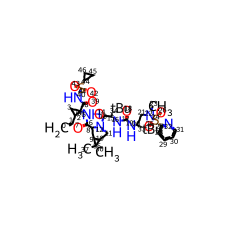 C=CC1C[C@]1(NC(=O)C1C2C(CN1C(=O)C(NC(=O)NC(CN(C)S(=O)(=O)c1ccccn1)C(C)(C)C)C(C)(C)C)C2(C)C)C(=O)NS(=O)(=O)C1CC1